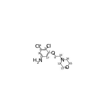 Nc1cc(Cl)c(Cl)c(OCCN2CCOCC2)c1